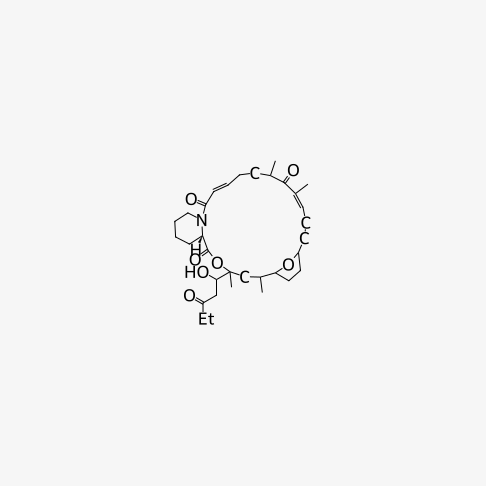 CCC(=O)CC(O)C1(C)CC(C)C2CCC(CC/C=C(/C)C(=O)C(C)CC/C=C/C(=O)N3CCCC[C@H]3C(=O)O1)O2